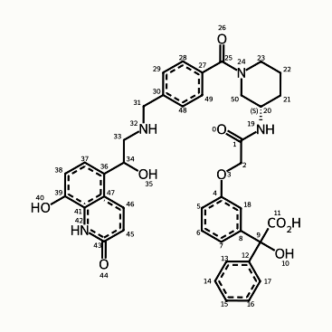 O=C(COc1cccc(C(O)(C(=O)O)c2ccccc2)c1)N[C@H]1CCCN(C(=O)c2ccc(CNCC(O)c3ccc(O)c4[nH]c(=O)ccc34)cc2)C1